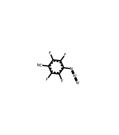 N#Cc1c(F)c(F)c(N=[N+]=[N-])c(F)c1F